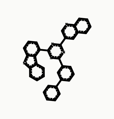 c1ccc(-c2cccc(-c3nc(-c4cnc5ccccc5c4)nc(-c4cccc5sc6ccccc6c45)n3)c2)cc1